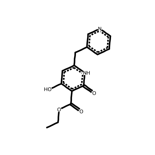 CCOC(=O)c1c(O)cc(Cc2cccnc2)[nH]c1=O